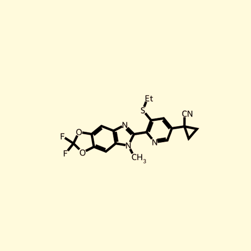 CCSc1cc(C2(C#N)CC2)cnc1-c1nc2cc3c(cc2n1C)OC(F)(F)O3